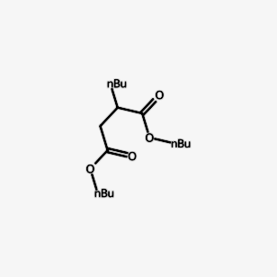 CCCCOC(=O)CC(CCCC)C(=O)OCCCC